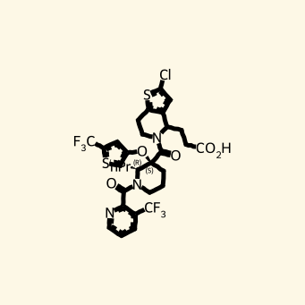 CCC[C@H]1N(C(=O)c2ncccc2C(F)(F)F)CCC[C@@]1(Oc1csc(C(F)(F)F)c1)C(=O)N1CCc2sc(Cl)cc2C1CCC(=O)O